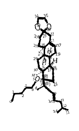 CCCCCO[C@@]1([C@H](C)CCCC(C)C)CC[C@H]2[C@@H]3CC=C4CC5(CC[C@]4(C)[C@H]3CC[C@@]21C)OCCO5